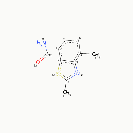 Cc1nc2c(C)cccc2s1.NC=O